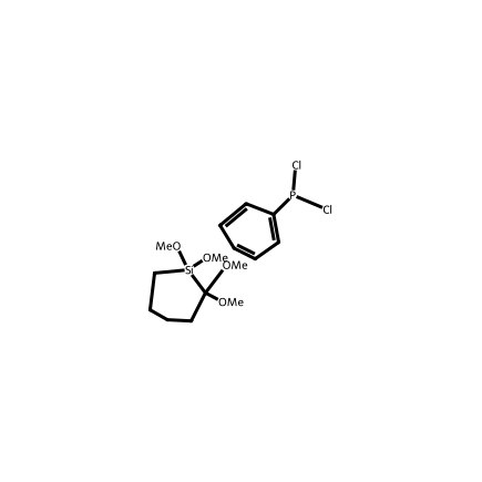 COC1(OC)CCCC[Si]1(OC)OC.ClP(Cl)c1ccccc1